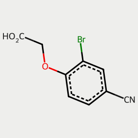 N#Cc1ccc(OCC(=O)O)c(Br)c1